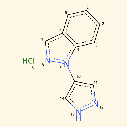 Cl.c1ccc2c(c1)cnn2-c1cn[nH]c1